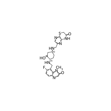 Cn1c(=O)cnc2ccc(F)c(CN[C@H]3CC[C@H](NCc4cnc5c(n4)NC(=O)CS5)C[C@H]3O)c21